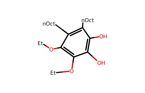 CCCCCCCCc1c(O)c(O)c(OCC)c(OCC)c1CCCCCCCC